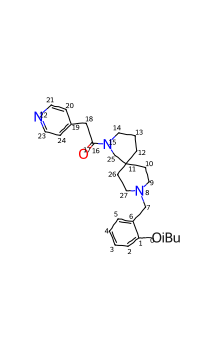 CC(C)COc1ccccc1CN1CCC2(CCCN(C(=O)Cc3ccncc3)C2)CC1